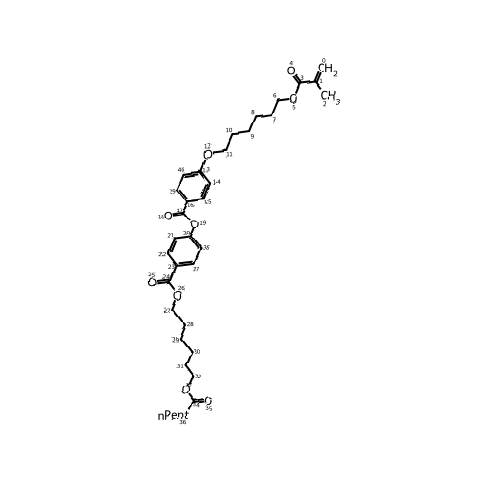 C=C(C)C(=O)OCCCCCCOc1ccc(C(=O)Oc2ccc(C(=O)OCCCCCCOC(=O)CCCCC)cc2)cc1